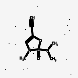 C#CC1=CN(C)P(=O)(N(C)C)O1